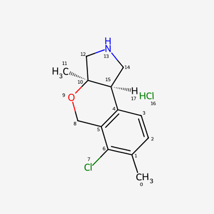 Cc1ccc2c(c1Cl)CO[C@@]1(C)CNC[C@@H]21.Cl